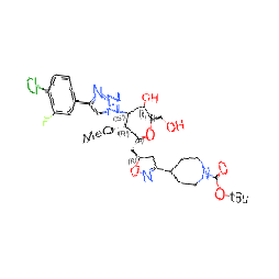 CO[C@@H]1[C@@H](n2cc(-c3ccc(Cl)c(F)c3)nn2)[C@@H](O)[C@@H](CO)O[C@@H]1C[C@H]1CC(C2CCN(C(=O)OC(C)(C)C)CC2)=NO1